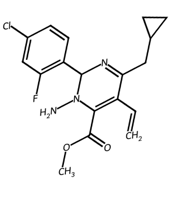 C=CC1=C(C(=O)OC)N(N)C(c2ccc(Cl)cc2F)N=C1CC1CC1